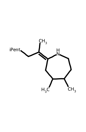 CCCC(C)C/C(C)=C1\CC(C)C(C)CCN1